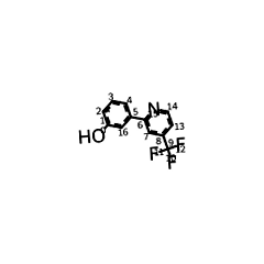 Oc1[c]ccc(-c2cc(C(F)(F)F)ccn2)c1